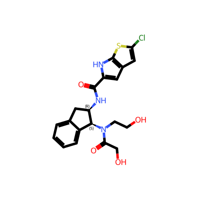 O=C(N[C@@H]1Cc2ccccc2[C@@H]1N(CCO)C(=O)CO)c1cc2cc(Cl)sc2[nH]1